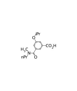 CCCN(C)C(=O)c1cc(OC(C)C)cc(C(=O)O)c1